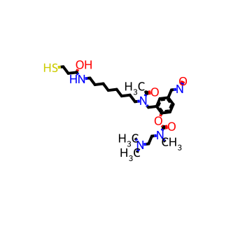 CC(=O)N(CCCCCCCCNC(O)CCS)Cc1cc(CN=O)ccc1OC(=O)N(C)CCN(C)C